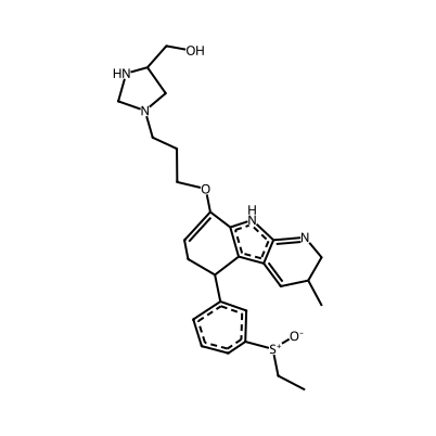 CC[S+]([O-])c1cccc(C2CC=C(OCCCN3CNC(CO)C3)c3[nH]c4c(c32)=CC(C)CN=4)c1